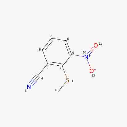 CSc1c(C#N)cccc1[N+](=O)[O-]